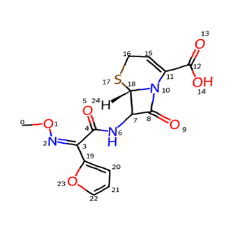 CO/N=C(\C(=O)NC1C(=O)N2C(C(=O)O)=CCS[C@@H]12)c1ccco1